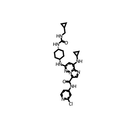 O=C(NCC1CC1)N[C@H]1CC[C@H](Nc2cc(NC3CC3)c3ncc(C(=O)Nc4ccnc(Cl)c4)n3n2)CC1